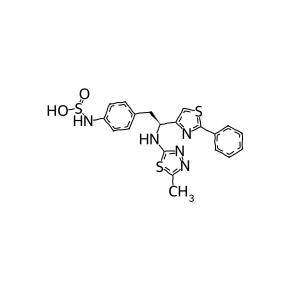 Cc1nnc(N[C@@H](Cc2ccc(NS(=O)O)cc2)c2csc(-c3ccccc3)n2)s1